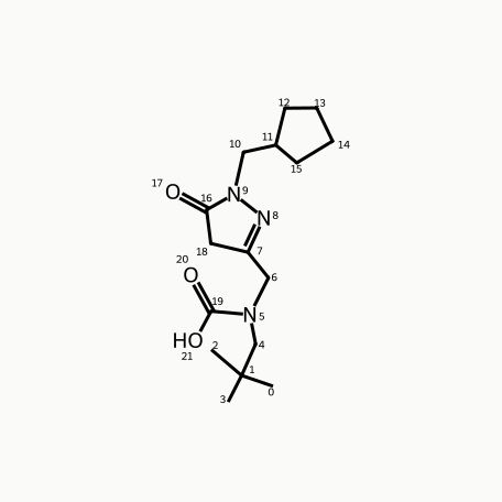 CC(C)(C)CN(CC1=NN(CC2CCCC2)C(=O)C1)C(=O)O